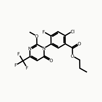 CCCOC(=O)c1cc(-n2c(OC)nc(C(F)(F)F)cc2=O)c(F)cc1Cl